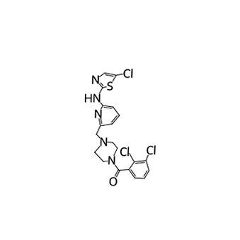 O=C(c1cccc(Cl)c1Cl)N1CCN(Cc2cccc(Nc3ncc(Cl)s3)n2)CC1